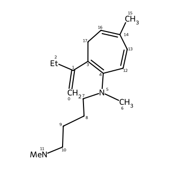 C=C(CC)C1=C(N(C)CCCCNC)C=CC(C)=CC1